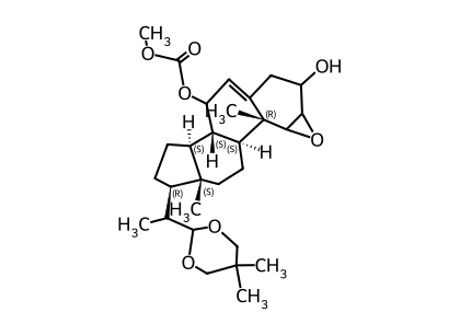 COC(=O)OC1C=C2CC(O)C3OC3[C@]2(C)[C@H]2CC[C@]3(C)[C@@H](C(C)C4OCC(C)(C)CO4)CC[C@H]3[C@H]12